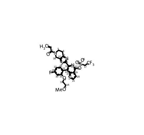 C=CC(=O)N1CCc2nc(-c3nc(OS(=O)(=O)CC(F)(F)F)c4ccsc4c3-c3ccc(F)cc3OCCOC)sc2C1